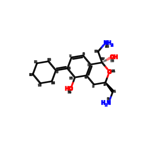 NC[C@H]1CC2=C(C=CC(=C3CCCCC3)C2O)[C@@](O)(CN)O1